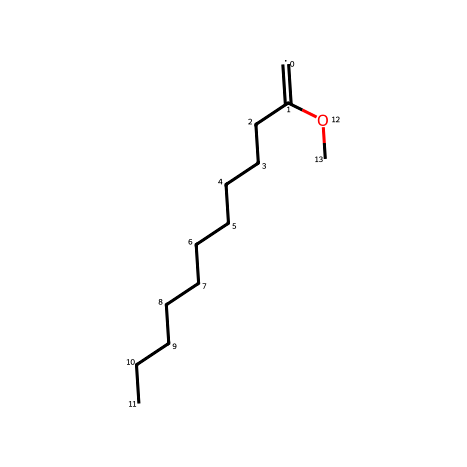 [CH]=C(CCCCCCCCCC)OC